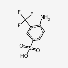 Nc1ccc(S(=O)(=O)O)cc1C(F)(F)F